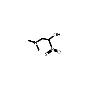 CN(C)CC(O)P(=O)=S